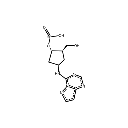 O=[PH](O)O[C@H]1C[C@H](Nc2ncnc3ccnn23)C[C@@H]1CO